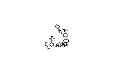 Cl.Cl.O=C(CCC1CCN(Cc2cc(C(F)(F)F)cc(C(F)(F)F)c2)CC1)c1ccc2c(c1)CN(Cc1ccccc1)CCO2